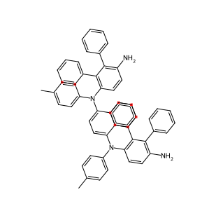 Cc1ccc(N(c2ccc(N)c(-c3ccccc3)c2-c2ccccc2)c2ccc(N(c3ccc(C)cc3)c3ccc(N)c(-c4ccccc4)c3-c3ccccc3)c3ccccc23)cc1